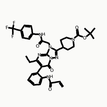 C=CC(=O)Nc1ccccc1-c1c(CC)nc2n(CC(=O)Nc3ccc(C(F)(F)F)cc3)c(C3CCN(C(=O)OC(C)(C)C)CC3)nn2c1=O